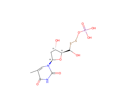 Cc1cn([C@H]2C[C@H](O)[C@@H](C(O)SSOP(=O)(O)O)O2)c(=O)[nH]c1=O